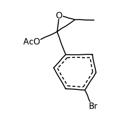 CC(=O)OC1(c2ccc(Br)cc2)OC1C